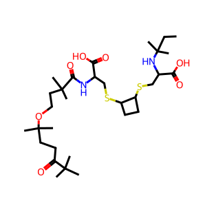 CCC(C)(C)NC(CSC1CCC1SCC(NC(=O)C(C)(C)CCOC(C)(C)CCC(=O)C(C)(C)C)C(=O)O)C(=O)O